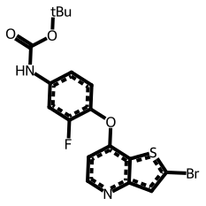 CC(C)(C)OC(=O)Nc1ccc(Oc2ccnc3cc(Br)sc23)c(F)c1